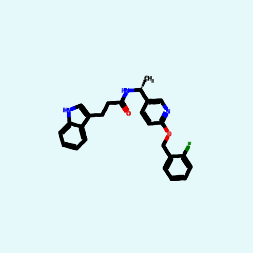 C[C@@H](NC(=O)CCc1c[nH]c2ccccc12)c1ccc(OCc2ccccc2F)nc1